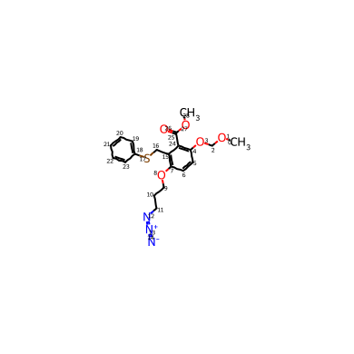 COCOc1ccc(OCCCN=[N+]=[N-])c(CSc2ccccc2)c1C(=O)OC